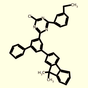 CCc1cccc(-c2nc(Cl)nc(-c3cc(-c4ccccc4)cc(-c4ccc5c(c4)C(C)(C)c4ccccc4-5)c3)n2)c1